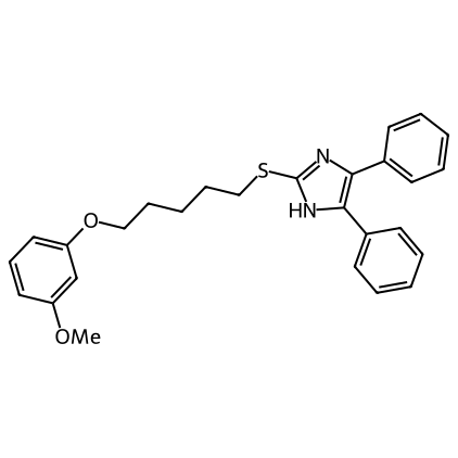 COc1cccc(OCCCCCSc2nc(-c3ccccc3)c(-c3ccccc3)[nH]2)c1